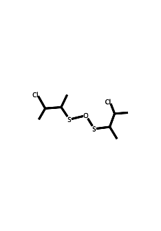 CC(Cl)C(C)SOSC(C)C(C)Cl